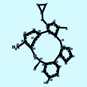 Cc1nn(CC2CC2)c2c1Cn1nccc1-c1ccc(F)cc1[C@@H](C)Oc1cc-2cnc1N